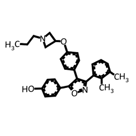 CCCN1CC(Oc2ccc(-c3c(-c4cccc(C)c4C)noc3-c3ccc(O)cc3)cc2)C1